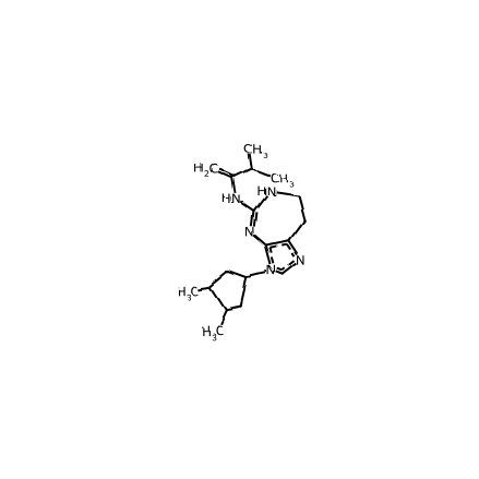 C=C(NC1=Nc2c(ncn2C2CC(C)C(C)C2)CCN1)C(C)C